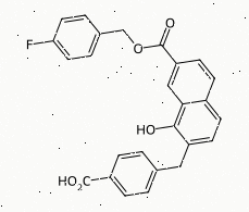 O=C(O)c1ccc(Cc2ccc3ccc(C(=O)OCc4ccc(F)cc4)cc3c2O)cc1